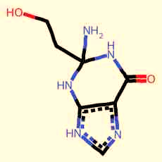 NC1(CCO)NC(=O)c2nc[nH]c2N1